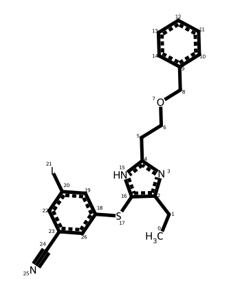 CCc1nc(CCOCc2ccccc2)[nH]c1Sc1cc(I)cc(C#N)c1